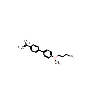 C=C(C)c1ccc(-c2ccc(B(C)CCCC)cc2)cc1